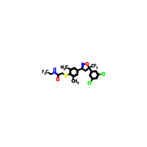 Cc1cc(C2=NO[C@@](c3cc(Cl)cc(Cl)c3)(C(F)(F)F)C2)cc(C)c1SCC(=O)NCC(F)(F)F